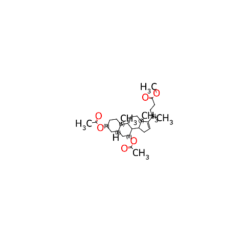 COC(=O)CC[C@@H](C)C1=CCC2C3C(=CC[C@]12C)[C@@]1(C)CC[C@@H](OC(C)=O)C[C@H]1C[C@H]3OC(C)=O